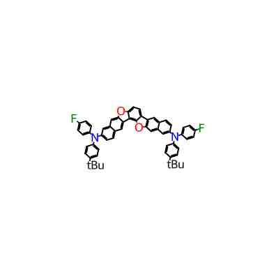 CC(C)(C)c1ccc(N(c2ccc(F)cc2)c2ccc3cc4c(cc3c2)oc2c4ccc3oc4cc5cc(N(c6ccc(F)cc6)c6ccc(C(C)(C)C)cc6)ccc5cc4c32)cc1